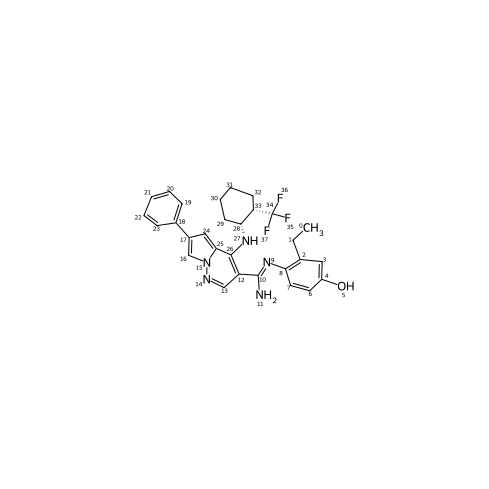 CCc1cc(O)ccc1N=C(N)c1cnn2cc(-c3ccccc3)cc2c1N[C@@H]1CCCC[C@@H]1C(F)(F)F